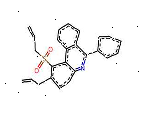 C=CCc1ccc2nc(-c3ccccc3)c3ccccc3c2c1S(=O)(=O)CC=C